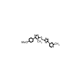 COc1ccc(-c2nnc(SCc3noc(-c4ccnc(C)c4)n3)n2C)cc1